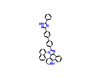 C1=Cc2c(c3ccccc3c3nc(-c4ccc(-c5ccc(-c6n[nH]c(-c7ccccc7)n6)cc5)cc4)n(-c4cccc5ccccc45)c23)NC1